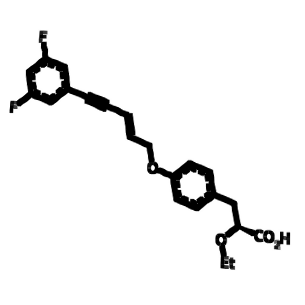 CCO[C@@H](Cc1ccc(OCC=CC#Cc2cc(F)cc(F)c2)cc1)C(=O)O